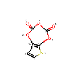 O=C1OC(=O)Oc2sccc2O1